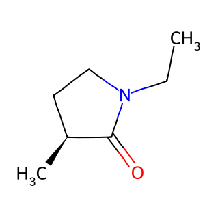 CCN1CC[C@H](C)C1=O